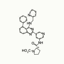 O=C(Nc1cncc(-c2nc(NCc3ccccn3)c3c(-c4ccccc4)cccc3n2)c1)[C@@H]1CCCN1C(=O)O